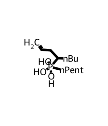 C=CCC(CCCC)P(O)(O)(O)CCCCC